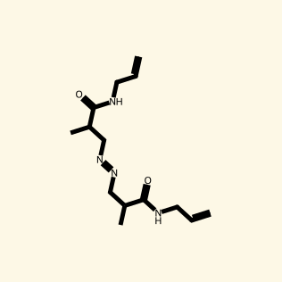 C=CCNC(=O)C(C)CN=NCC(C)C(=O)NCC=C